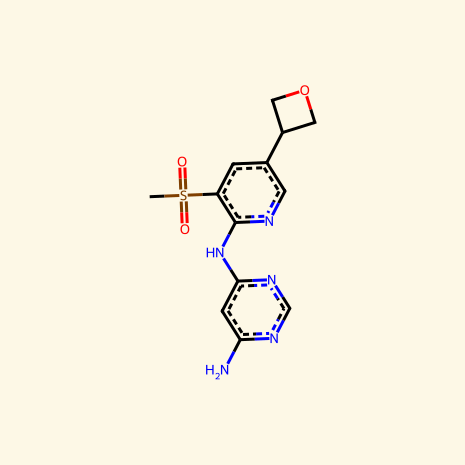 CS(=O)(=O)c1cc(C2COC2)cnc1Nc1cc(N)ncn1